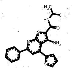 CC(C)NC(=O)c1sc2nc(-c3ccccc3)cc(-c3cccs3)c2c1N